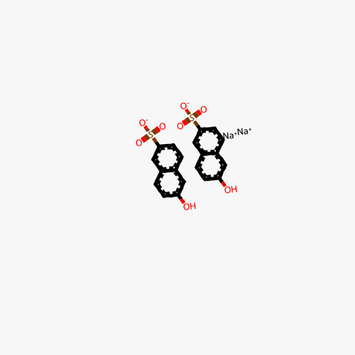 O=S(=O)([O-])c1ccc2cc(O)ccc2c1.O=S(=O)([O-])c1ccc2cc(O)ccc2c1.[Na+].[Na+]